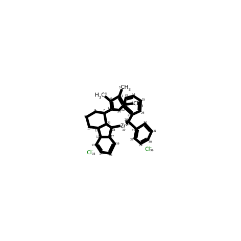 CC1=C(C)C(C)=C(C2CCCC3C4C=CC=CC4[CH]([Zr+2]=[C](c4ccccc4)c4ccccc4)C23)C1.[Cl-].[Cl-]